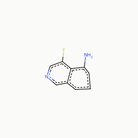 Nc1cccc2cncc(F)c12